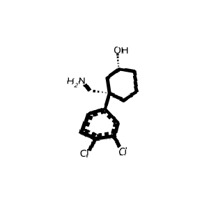 NC[C@@]1(c2ccc(Cl)c(Cl)c2)CCC[C@@H](O)C1